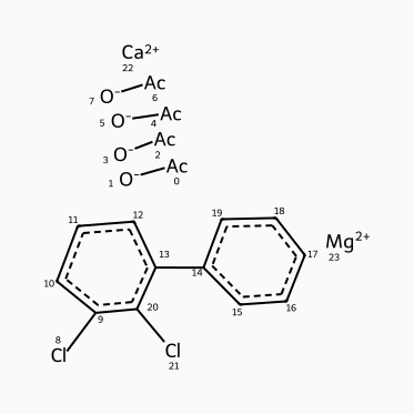 CC(=O)[O-].CC(=O)[O-].CC(=O)[O-].CC(=O)[O-].Clc1cccc(-c2ccccc2)c1Cl.[Ca+2].[Mg+2]